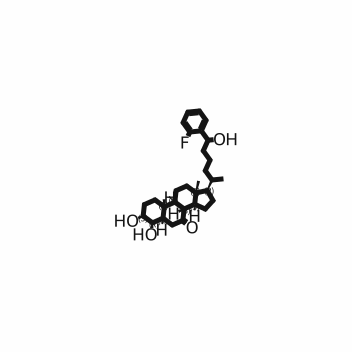 CC(CCCC(O)c1ccccc1F)[C@H]1CC[C@H]2[C@@H]3C(=O)C[C@H]4[C@@H](O)[C@@H](O)CC[C@]4(C)[C@H]3CC[C@]12C